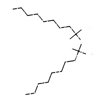 COC(C)(CCCCCCCCl)OC(C)(CCCCCCCCl)OC